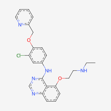 CCNCCOc1cccc2ncnc(Nc3ccc(OCc4ccccn4)c(Cl)c3)c12